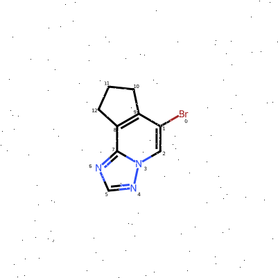 Brc1cn2ncnc2c2c1CCC2